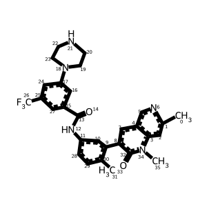 Cc1cc2c(cn1)cc(-c1cc(NC(=O)c3cc(N4CCNCC4)cc(C(F)(F)F)c3)ccc1C)c(=O)n2C